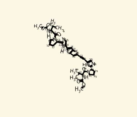 COC(=O)N[C@H](C(=O)N1CCCC1c1ncc(-c2cc3sc(C#Cc4cnc([C@@H]5CCCN5C(=O)[C@@H](NC(=O)OC)C(C)C)[nH]4)cc3s2)[nH]1)C(C)C